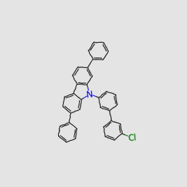 Clc1cccc(-c2cccc(-n3c4cc(-c5ccccc5)ccc4c4ccc(-c5ccccc5)cc43)c2)c1